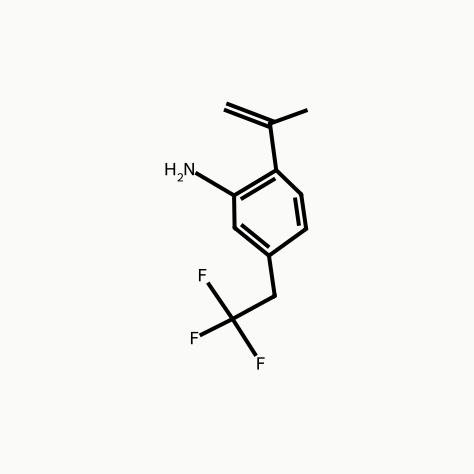 C=C(C)c1ccc(CC(F)(F)F)cc1N